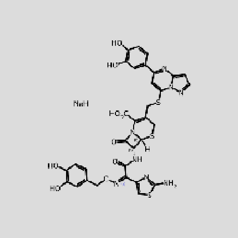 Nc1nc(/C(=N/OCc2ccc(O)c(O)c2)C(=O)N[C@@H]2C(=O)N3C(C(=O)O)=C(CSc4cc(-c5ccc(O)c(O)c5)nc5ccnn45)CS[C@H]23)cs1.[NaH]